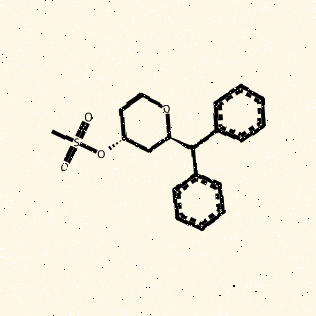 CS(=O)(=O)O[C@@H]1CCO[C@@H](C(c2ccccc2)c2ccccc2)C1